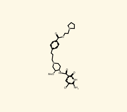 CO[C@H]1CN(CCCc2ccc(C(=O)OCCN3CCCC3)cc2)CC[C@H]1NC(=O)c1cc(Cl)c(N)[nH]c1=O